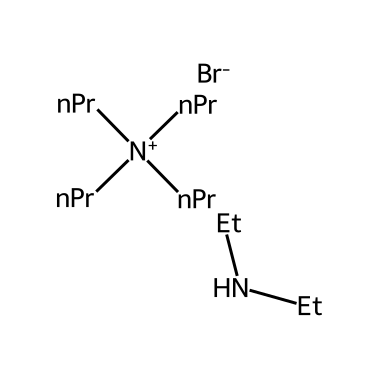 CCC[N+](CCC)(CCC)CCC.CCNCC.[Br-]